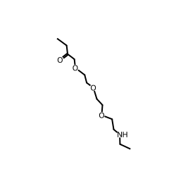 CCNCCOCCOCCOCC(=O)CC